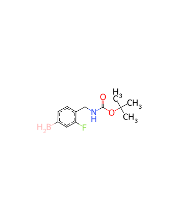 Bc1ccc(CNC(=O)OC(C)(C)C)c(F)c1